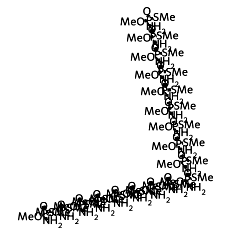 COP(N)(=O)SC.COP(N)(=O)SC.COP(N)(=O)SC.COP(N)(=O)SC.COP(N)(=O)SC.COP(N)(=O)SC.COP(N)(=O)SC.COP(N)(=O)SC.COP(N)(=O)SC.COP(N)(=O)SC.COP(N)(=O)SC.COP(N)(=O)SC.COP(N)(=O)SC.COP(N)(=O)SC.COP(N)(=O)SC.COP(N)(=O)SC.COP(N)(=O)SC.COP(N)(=O)SC